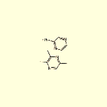 CCCc1cnccn1.Cc1cnc(C)c(C)n1